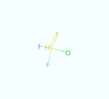 F[SH](=S)(Cl)I